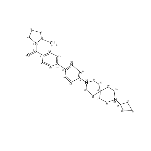 CC1CCCN1C(=O)c1ccc(-c2ccc(N3CCC4(CC3)CCN(C3CCC3)CC4)nn2)cc1